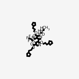 CCNC(=O)Nc1ncc(-c2cc(C(=O)OCCCC3CCCC3)cnc2OCCCC2CCCC2)c(-c2nc(C(F)(F)F)cs2)c1C(=O)OCCCC1CCCC1